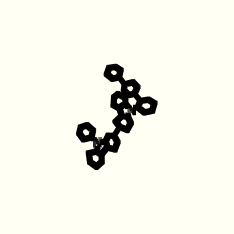 c1ccc(-c2ccc(-c3ccccc3-n3c4ccccc4c4cc(-c5ccc6c7ccccc7n(-c7ccccc7)c6c5)ccc43)cc2)cc1